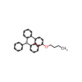 CCCCOc1ccc(-c2ccccc2B(c2ccccc2)c2ccccc2)cc1